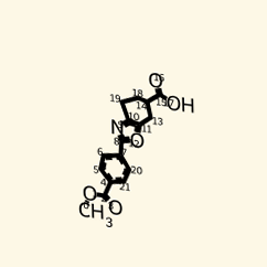 COC(=O)c1ccc(-c2nc3c(o2)CC(C(=O)O)CC3)cc1